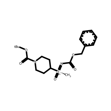 CC(C)(C)OC(=O)N1CCC([S@](C)(=O)=NC(=O)OCc2ccccc2)CC1